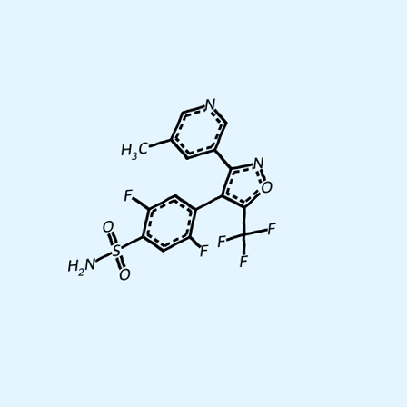 Cc1cncc(-c2noc(C(F)(F)F)c2-c2cc(F)c(S(N)(=O)=O)cc2F)c1